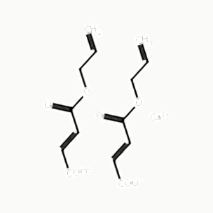 C=CCOC(=O)/C=C/C(=O)[O-].C=CCOC(=O)/C=C/C(=O)[O-].[Ca+2]